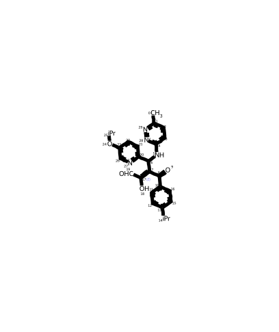 Cc1ccc(NC(/C(C(=O)c2ccc(C(C)C)cc2)=C(/O)C=O)c2ccc(OC(C)C)cn2)nn1